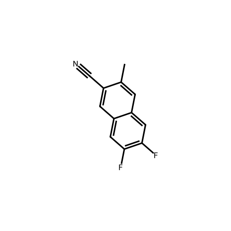 Cc1cc2cc(F)c(F)cc2cc1C#N